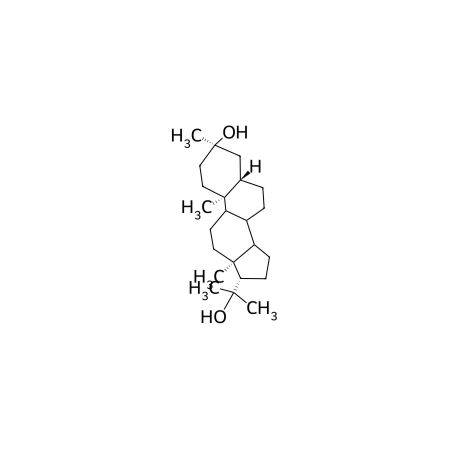 CC(C)(O)[C@H]1CCC2C3CC[C@H]4C[C@](C)(O)CC[C@]4(C)C3CC[C@@]21C